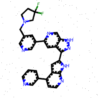 FC1(F)CCN(Cc2cncc(-c3cc4c(-c5cc6c(-c7cccnc7)ccnc6[nH]5)n[nH]c4cn3)c2)C1